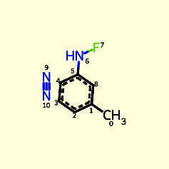 Cc1cccc(NF)c1.N#N